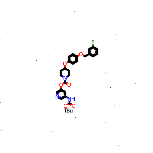 CC(C)(C)OC(=O)Nc1cncc(OC(=O)N2CCC(Oc3ccc(OCc4cccc(F)c4)cc3)CC2)c1